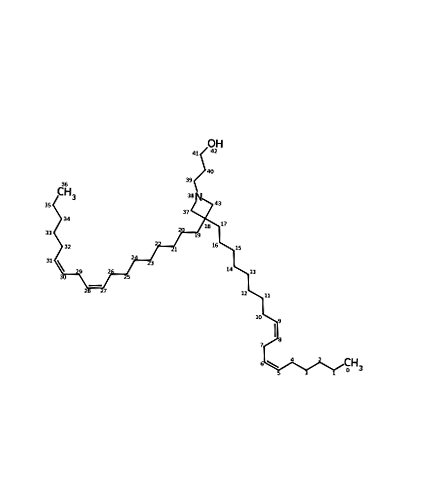 CCCCC/C=C\C/C=C\CCCCCCCCC1(CCCCCCCC/C=C\C/C=C\CCCCC)CN(CCCO)C1